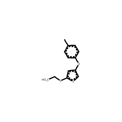 Cc1ccc(Oc2csc(SCC(=O)O)c2)cc1